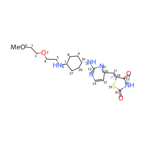 COCCOCCN[C@H]1CC[C@H](Nc2nccc(/C=C3\SC(=O)NC3=O)n2)CC1